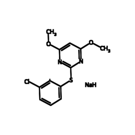 COc1cc(OC)nc(Sc2[c]c(Cl)ccc2)n1.[NaH]